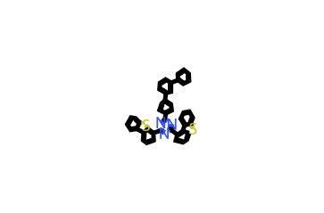 c1ccc(-c2cccc(-c3ccc(-c4nc(-c5cccc6c5sc5ccccc56)nc(-c5cccc6sc7ccccc7c56)n4)cc3)c2)cc1